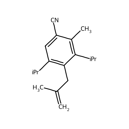 C=C(C)Cc1c(C(C)C)cc(C#N)c(C)c1C(C)C